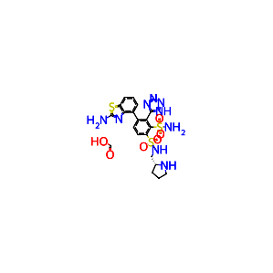 Nc1nc2c(-c3ccc(S(=O)(=O)NC[C@H]4CCCN4)c(S(N)(=O)=O)c3-c3nnn[nH]3)cccc2s1.O=CO